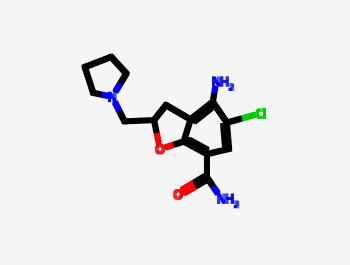 NC(=O)c1cc(Cl)c(N)c2c1OC(CN1CCCC1)C2